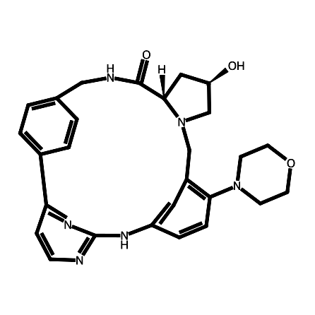 O=C1NCc2ccc(cc2)-c2ccnc(n2)Nc2ccc(N3CCOCC3)c(c2)CN2C[C@H](O)C[C@@H]12